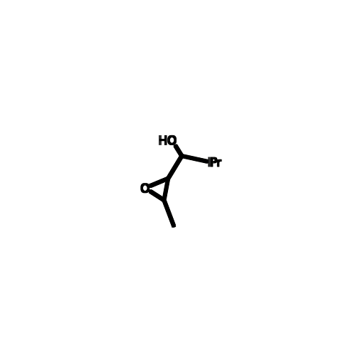 CC(C)C(O)C1OC1C